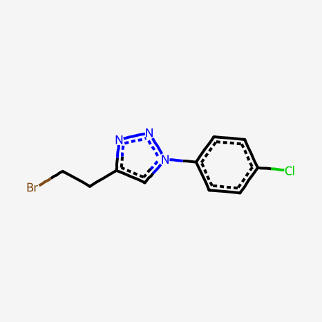 Clc1ccc(-n2cc(CCBr)nn2)cc1